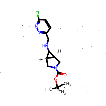 CC(C)(C)OC(=O)N1C[C@@H]2C(NCc3ccc(Cl)nn3)[C@@H]2C1